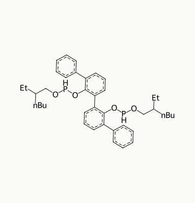 CCCCC(CC)COPOc1c(-c2ccccc2)cccc1-c1cccc(-c2ccccc2)c1OPOCC(CC)CCCC